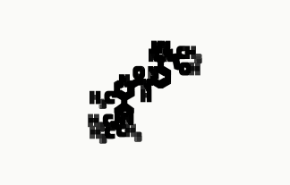 Cc1cnc(C(=O)Nc2cccc(-c3nnnn3C(C)CO)n2)cc1-c1cnn(C(C)(C)C)c1